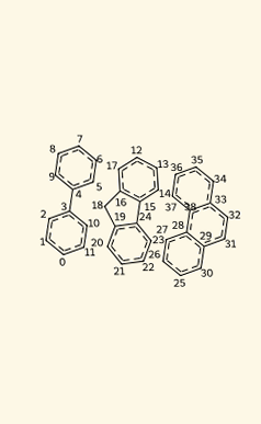 c1ccc(-c2ccccc2)cc1.c1ccc2c(c1)Cc1ccccc1-2.c1ccc2c(c1)ccc1ccccc12